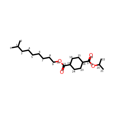 CC(C)CCCCCCCOC(=O)C1CCC(C(=O)OC(C)C)CC1